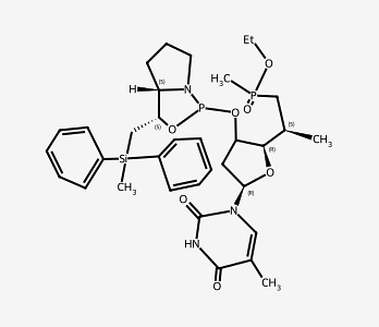 CCOP(C)(=O)C[C@@H](C)[C@H]1O[C@@H](n2cc(C)c(=O)[nH]c2=O)CC1OP1O[C@H](C[Si](C)(c2ccccc2)c2ccccc2)[C@@H]2CCCN21